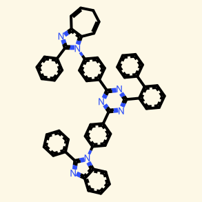 C1=Cc2nc(-c3ccccc3)n(-c3ccc(-c4nc(-c5ccc(-n6c(-c7ccccc7)nc7ccccc76)cc5)nc(-c5ccccc5-c5ccccc5)n4)cc3)c2C=CC1